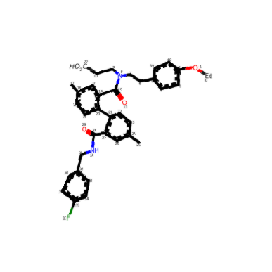 CCOc1ccc(CCN(CCC(=O)O)C(=O)c2cc(C)ccc2-c2ccc(C)cc2C(=O)NCc2ccc(F)cc2)cc1